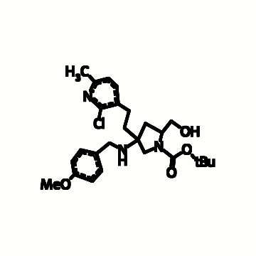 COc1ccc(CNC2(CCc3ccc(C)nc3Cl)CC(CO)N(C(=O)OC(C)(C)C)C2)cc1